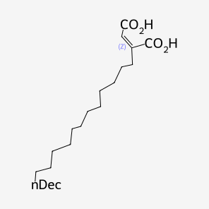 CCCCCCCCCCCCCCCCCCCCCC/C(=C/C(=O)O)C(=O)O